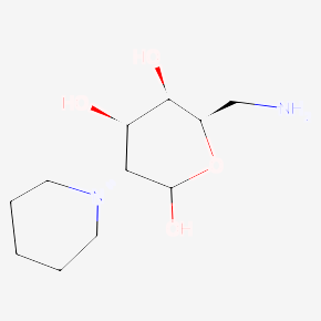 NC[C@H]1OC(O)[C@H](N2CCCCC2)[C@@H](O)[C@H]1O